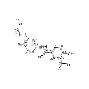 CC/C=C\CC(F)/N=C(\C=C/CC)NC(=O)c1ccc(=O)n(C(C)C)n1